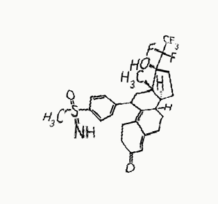 C[C@]12C[C@H](c3ccc(S(C)(=N)=O)cc3)C3=C4CCC(=O)C=C4CC[C@H]3[C@@H]1CC[C@@]2(O)C(F)(F)C(F)(F)F